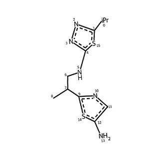 CC(C)c1nnc(NCC(C)c2ncc(N)s2)s1